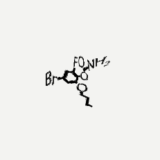 CCCCOc1cc(Br)cc(F)c1OC(N)=O